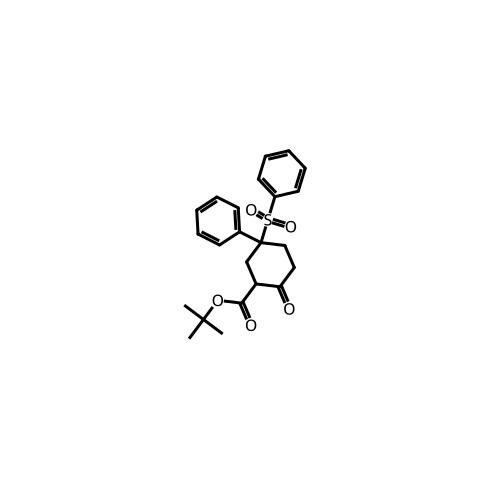 CC(C)(C)OC(=O)C1CC(c2ccccc2)(S(=O)(=O)c2ccccc2)CCC1=O